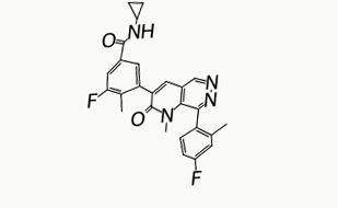 Cc1cc(F)ccc1-c1nncc2cc(-c3cc(C(=O)NC4CC4)cc(F)c3C)c(=O)n(C)c12